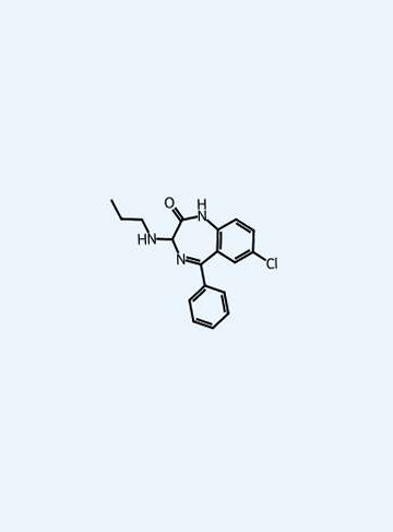 CCCNC1N=C(c2ccccc2)c2cc(Cl)ccc2NC1=O